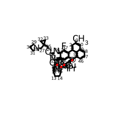 Cc1cc(-c2c(F)cc3c(N4CC5CCC(C4)N5C(=O)OC(C)(C)C)nc(OCC4(CN5CCC5)CC4)nc3c2F)c2c(C#C[Si](C(C)C)(C(C)C)C(C)C)cccc2c1